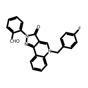 O=Cc1ccccc1-n1nc2c3ccccc3n(Cc3ccc(F)cc3)cc-2c1=O